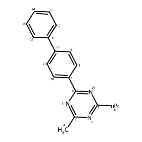 CCCc1nc(C)nc(-c2ccc(-c3ccccc3)cc2)n1